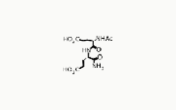 CC(=O)N[C@@H](CCC(=O)O)C(=O)N[C@@H](CCC(=O)O)C(N)=O